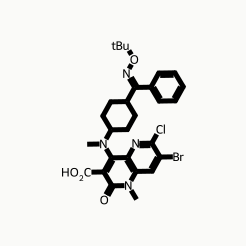 CN(c1c(C(=O)O)c(=O)n(C)c2cc(Br)c(Cl)nc12)C1CCC(C(=NOC(C)(C)C)c2ccccc2)CC1